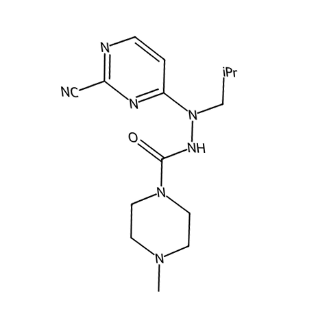 CC(C)CN(NC(=O)N1CCN(C)CC1)c1ccnc(C#N)n1